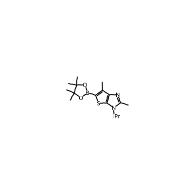 Cc1c(B2OC(C)(C)C(C)(C)O2)sc2c1nc(C)n2C(C)C